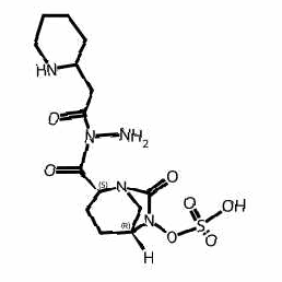 NN(C(=O)CC1CCCCN1)C(=O)[C@@H]1CC[C@@H]2CN1C(=O)N2OS(=O)(=O)O